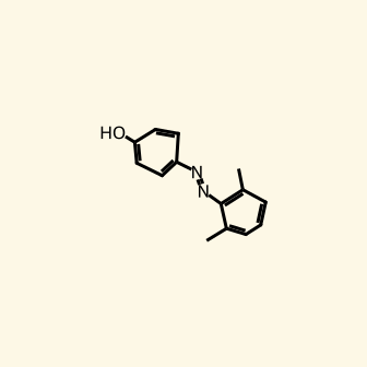 Cc1cccc(C)c1N=Nc1ccc(O)cc1